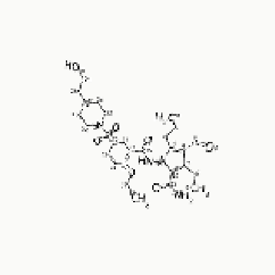 CCCc1c(C=O)c(CC)c(C(N)=O)n1NC(=O)c1cc(S(=O)(=O)N2CCN(CCO)CC2)ccc1OCC